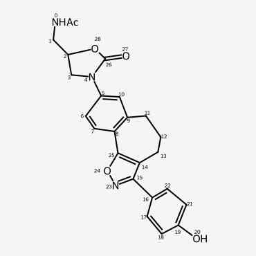 CC(=O)NCC1CN(c2ccc3c(c2)CCCc2c(-c4ccc(O)cc4)noc2-3)C(=O)O1